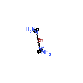 Nc1cc[n+](CCCCCCCCCCCC[n+]2ccc(N)c3ccccc32)c2ccccc12.[Br-].[Br-]